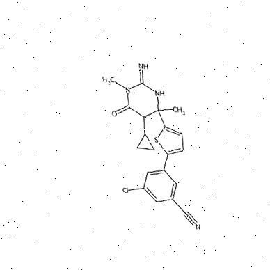 CN1C(=N)NC(C)(c2ccc(-c3cc(Cl)cc(C#N)c3)s2)C(C2CC2)C1=O